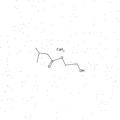 CC(C)CC(=O)OCCO.[CaH2]